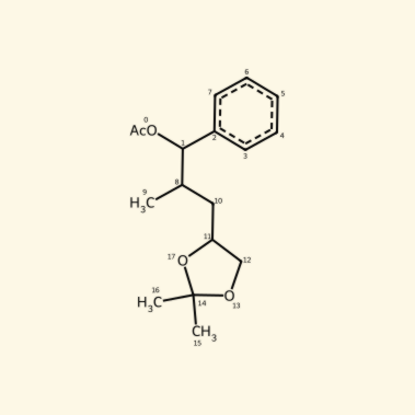 CC(=O)OC(c1ccccc1)C(C)CC1COC(C)(C)O1